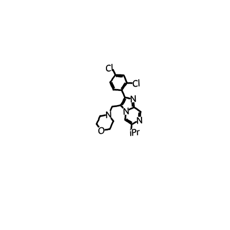 CC(C)c1cn2c(CN3CCOCC3)c(-c3ccc(Cl)cc3Cl)nc2cn1